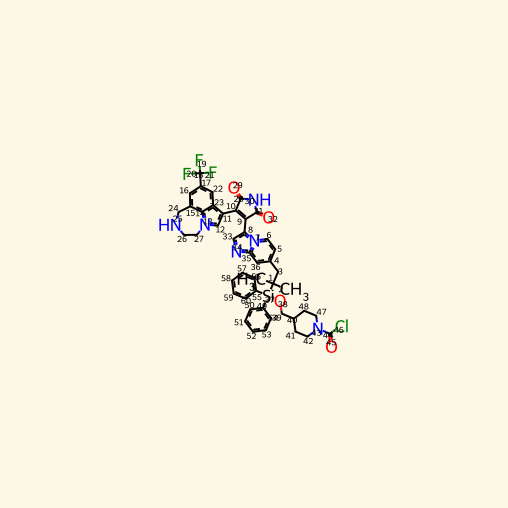 CC(C)(Cc1ccn2c(C3=C(c4cn5c6c(cc(C(F)(F)F)cc46)CNCC5)C(=O)NC3=O)cnc2c1)[Si](OCC1CCN(C(=O)Cl)CC1)(c1ccccc1)c1ccccc1